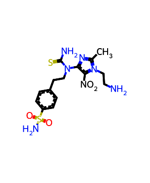 Cc1nc(N(CCc2ccc(S(N)(=O)=O)cc2)C(N)=S)c([N+](=O)[O-])n1CCN